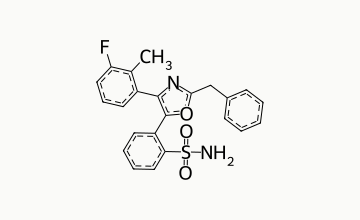 Cc1c(F)cccc1-c1nc(Cc2ccccc2)oc1-c1ccccc1S(N)(=O)=O